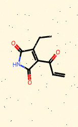 C=CC(=O)C1=C(CC)C(=O)NC1=O